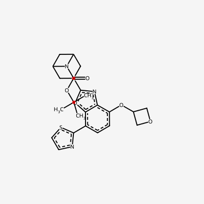 CC(C)(C)OC(=O)N1C2CC1CN(c1nc3c(OC4COC4)ccc(-c4nccs4)c3o1)C2